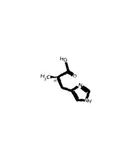 C[C@H](Cc1c[nH]cn1)C(=O)O